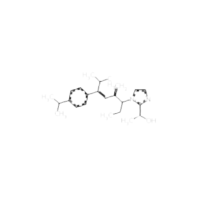 C=C(/C=C(/c1ccc(C(C)C)cc1)C(C)C)C(CC)n1ccnc1[C@H](C)O